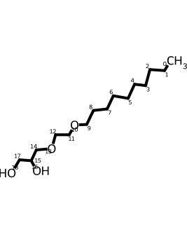 CCCCCCCCCCOCCOCC(O)CO